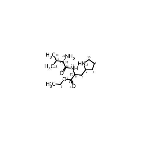 CCOC(=O)[C@H](CC1CCCN1)NC(=O)[C@@H](N)C(C)C